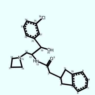 O=C(CC1Cc2ccccc2C1)NC(CN1CCC1)C(O)c1cccc(Cl)c1